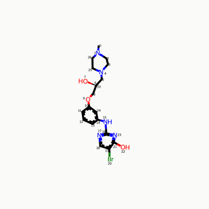 CN1CCN(C[C@H](O)COc2cccc(Nc3ncc(Br)c(O)n3)c2)CC1